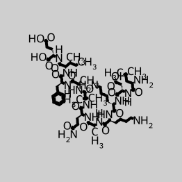 CC[C@H](C)[C@H](NC(=O)[C@H](Cc1ccccc1)NC(=O)[C@H](C)NC(=O)C(C)(C)NC(=O)[C@H](CCC(N)=O)NC(=O)[C@H](C)NC(=O)[C@H](CCCCN)NC(=O)[C@H](CCCCN)NC(=O)[C@H](CC(=O)O)NC(=O)[C@@H](N)CC(C)C)C(=O)N[C@@H](CCC(=O)O)C(=O)O